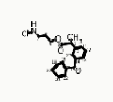 C[C@@H](C(=O)OCCCNCl)c1cccc(C(=O)c2ccccc2)c1